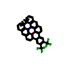 Cc1c(-c2cc(C(F)(F)F)c(C(F)(F)F)cc2-c2cccc(N3c4ccccc4C(C)(C)c4ccccc43)c2C)cccc1N1c2ccccc2C(C)(C)c2ccccc21